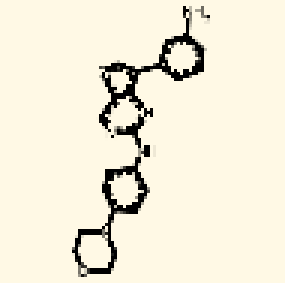 Nc1cccc(-c2csc3cnc(Nc4ccc(N5CCOCC5)cc4)nc23)c1